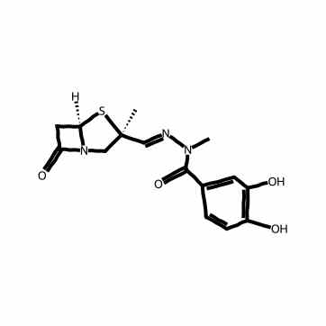 CN(/N=C/[C@@]1(C)CN2C(=O)C[C@H]2S1)C(=O)c1ccc(O)c(O)c1